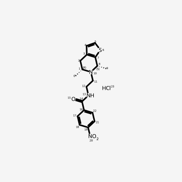 C[C@@H]1Cc2ccsc2[C@H](C)N1CCNC(=O)c1ccc([N+](=O)[O-])cc1.Cl